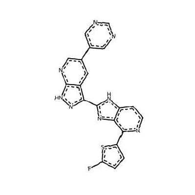 Fc1ccc(-c2nccc3[nH]c(-c4n[nH]c5ncc(-c6cncnc6)cc45)nc23)s1